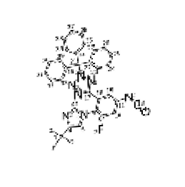 CC(C)(C)c1cn(-c2c(F)cc(N=C=O)cc2-c2nnn(C(c3ccccc3)(c3ccccc3)c3ccccc3)n2)cn1